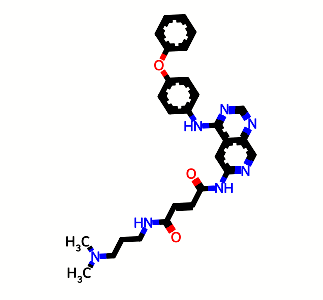 CN(C)CCCNC(=O)C=CC(=O)Nc1cc2c(Nc3ccc(Oc4ccccc4)cc3)ncnc2cn1